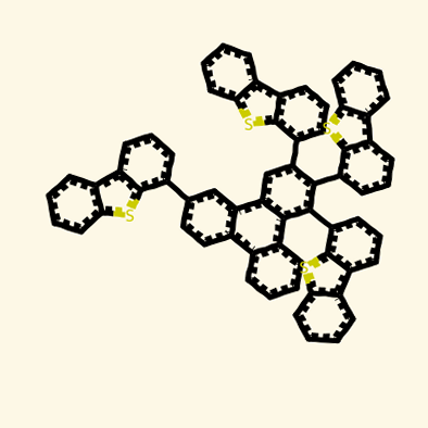 c1ccc2c(c1)sc1c(-c3ccc4c5ccccc5c5c(-c6cccc7c6sc6ccccc67)c(-c6cccc7c6sc6ccccc67)c(-c6cccc7c6sc6ccccc67)cc5c4c3)cccc12